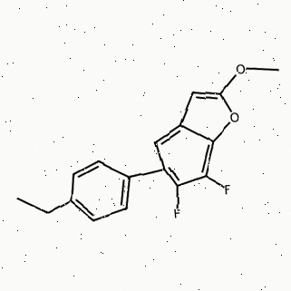 CCc1ccc(-c2cc3cc(OC)oc3c(F)c2F)cc1